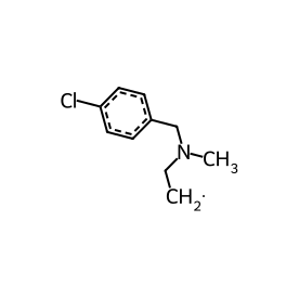 [CH2]CN(C)Cc1ccc(Cl)cc1